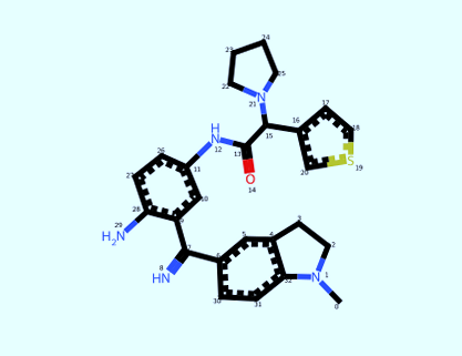 CN1CCc2cc(C(=N)c3cc(NC(=O)C(c4ccsc4)N4CCCC4)ccc3N)ccc21